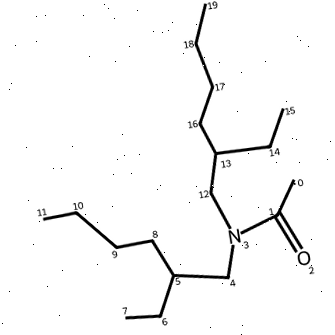 [CH2]C(=O)N(CC(CC)CCCC)CC(CC)CCCC